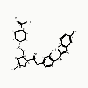 O=C(Cc1ccc(Nc2nc3cc(F)ccc3s2)c(Cl)c1)N1C[C@@H](F)C[C@H]1CO[C@H]1CC[C@H](C(=O)O)CC1